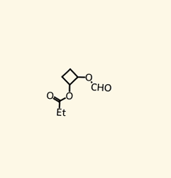 CCC(=O)OC1CCC1OC=O